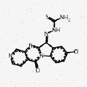 NC(=S)N/N=C1\c2cc(Cl)ccc2-n2c1nc1cnccc1c2=O